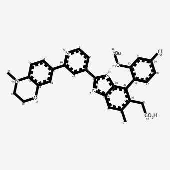 Cc1cc2nc(-c3ccnc(-c4ccc5c(c4)OCCN5C)c3)sc2c(-c2ccc(Cl)cc2OC(C)(C)C)c1CC(=O)O